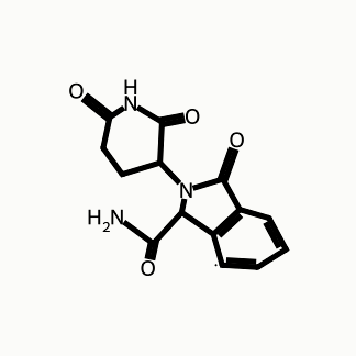 NC(=O)C1c2[c]cccc2C(=O)N1C1CCC(=O)NC1=O